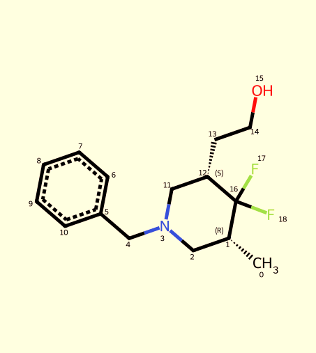 C[C@@H]1CN(Cc2ccccc2)C[C@H](CCO)C1(F)F